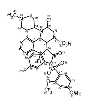 CCOc1ncccc1C1C(C2C(=O)N(S(=O)(=O)c3ccc(OC)cc3OC(F)(F)F)c3cc(F)ccc32)N(C(=O)O)CC(Cl)N1C1CCN(C)CC1